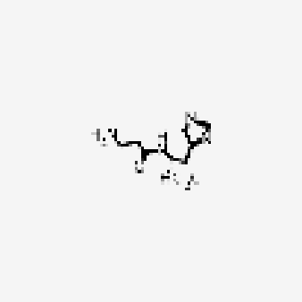 NCCC(=O)N[C@H](CC1=NC=NC1)C(=O)O